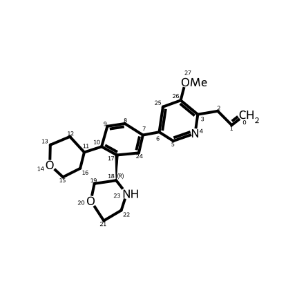 C=CCc1ncc(-c2ccc(C3CCOCC3)c([C@@H]3COCCN3)c2)cc1OC